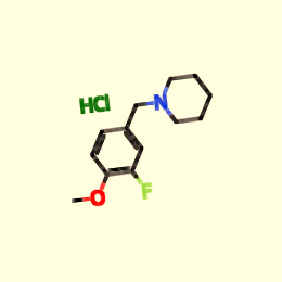 COc1ccc(CN2CCCCC2)cc1F.Cl